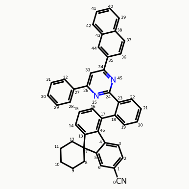 N#Cc1ccc2c(c1)C1(CCCCC1)c1cccc(-c3ccccc3-c3nc(-c4ccccc4)cc(-c4ccc5ccccc5c4)n3)c1-2